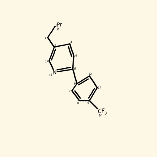 CC(C)Cc1ccc(-c2ccc(C(F)(F)F)cc2)nc1